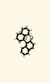 c1ccc2c3c(ccc2c1)Oc1cccc2cccc-3c12